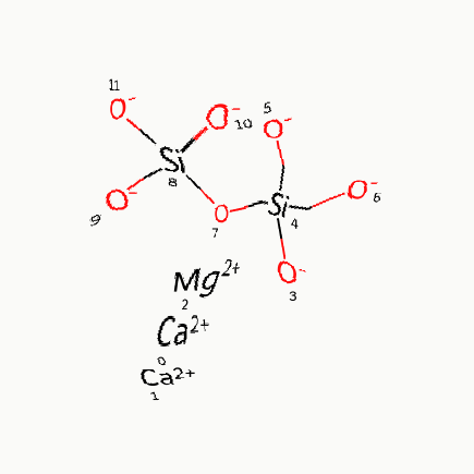 [Ca+2].[Ca+2].[Mg+2].[O-][Si]([O-])([O-])O[Si]([O-])([O-])[O-]